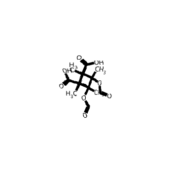 CC1(OC=O)C(C)(OC=O)C(C)(C(=O)O)C1(C)C(=O)O